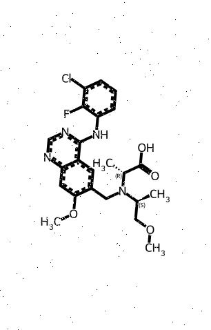 COC[C@H](C)N(Cc1cc2c(Nc3cccc(Cl)c3F)ncnc2cc1OC)[C@H](C)C(=O)O